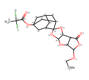 COCOC1OC(=O)C2C1OC1OC3(OC12)C1CC2CC3CC(OC(=O)C(C)(F)F)(C2)C1